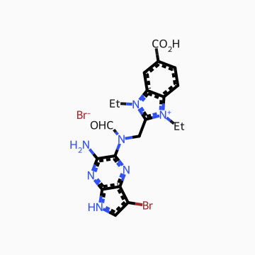 CCn1c(CN(C=O)c2nc3c(Br)c[nH]c3nc2N)[n+](CC)c2ccc(C(=O)O)cc21.[Br-]